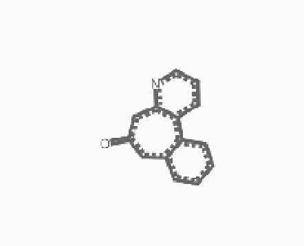 O=c1cc2ccccc2c2cccnc2c1